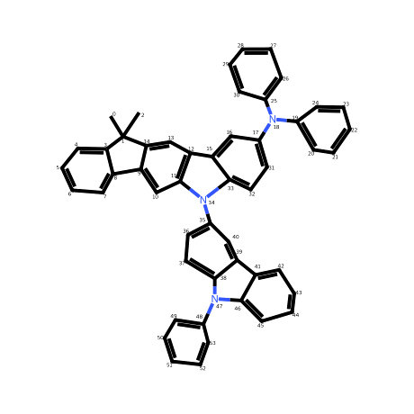 CC1(C)c2ccccc2-c2cc3c(cc21)c1cc(N(c2ccccc2)c2ccccc2)ccc1n3-c1ccc2c(c1)c1ccccc1n2-c1ccccc1